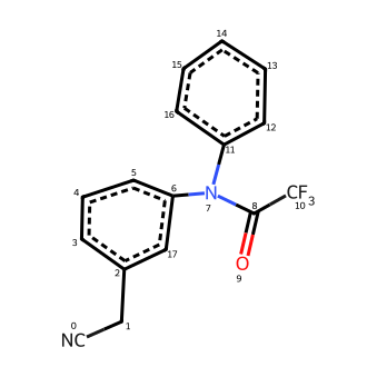 N#CCc1cccc(N(C(=O)C(F)(F)F)c2ccccc2)c1